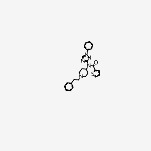 O=C(c1cccs1)N(c1ncn(-c2ccccc2)n1)C1CCN(CCc2ccccc2)CC1